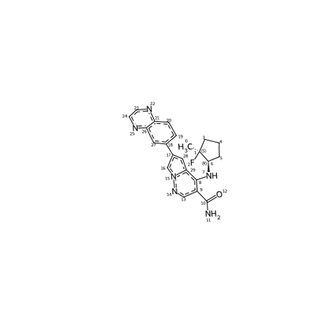 C[C@]1(F)CCC[C@H]1Nc1c(C(N)=O)cnn2cc(-c3ccc4nccnc4c3)cc12